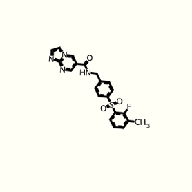 Cc1cccc(S(=O)(=O)c2ccc(CNC(=O)c3cnc4nccn4c3)cc2)c1F